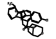 O=C(c1cccc(OCC(F)(F)F)n1)N1C2COCC1CN(Cc1c(-c3ccc(Cl)cc3)nc3ccccn13)C2